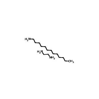 CCCCCCCCCCCCCN.NCCN